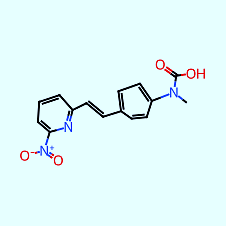 CN(C(=O)O)c1ccc(/C=C/c2cccc([N+](=O)[O-])n2)cc1